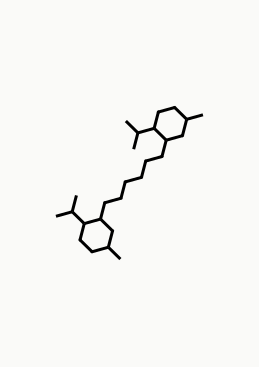 CC1CCC(C(C)C)C(CCCCCCC2CC(C)CCC2C(C)C)C1